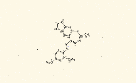 COc1ccc(/C=C/C2=NN=C(C)Cc3cc4c(cc32)OCO4)c(OC)c1